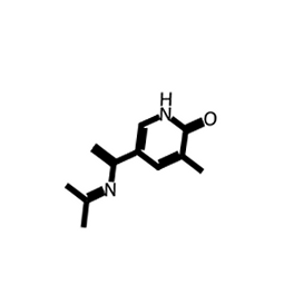 C=C(N=C(C)C)c1c[nH]c(=O)c(C)c1